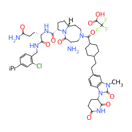 CC(C)c1ccc(CNC(=O)[C@H](CCC(N)=O)NC(=O)[C@@H]2CC[C@@H]3CCN(C(=O)C4CCC(CCc5ccc6c(c5)n(C)c(=O)n6C5CCC(=O)NC5=O)CC4)C[C@H](N)C(=O)N32)c(Cl)c1.O=C(O)C(F)(F)F